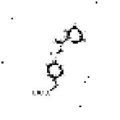 CCOC(=O)Cc1ccc(OCC(=O)c2ccccc2)cc1